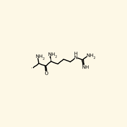 [CH2]C(N)C(=O)[C@@H](N)CCCNC(=N)N